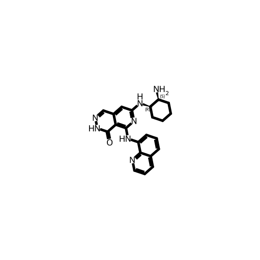 N[C@H]1CCCC[C@H]1Nc1cc2cn[nH]c(=O)c2c(Nc2cccc3cccnc23)n1